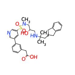 CN(CC(O)CNC(C)(C)CC1Cc2ccccc2C1)S(=O)(=O)c1cncc(-c2cccc(CC(=O)O)c2)c1